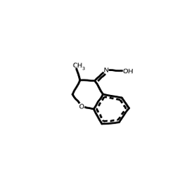 CC1COc2ccccc2C1=NO